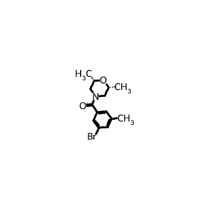 Cc1cc(Br)cc(C(=O)N2C[C@@H](C)O[C@@H](C)C2)c1